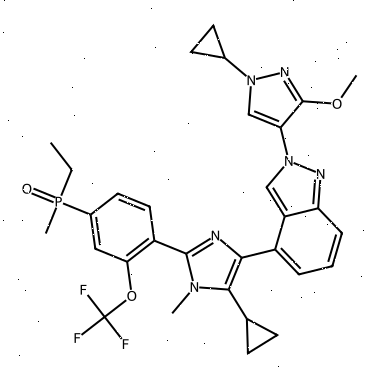 CCP(C)(=O)c1ccc(-c2nc(-c3cccc4nn(-c5cn(C6CC6)nc5OC)cc34)c(C3CC3)n2C)c(OC(F)(F)F)c1